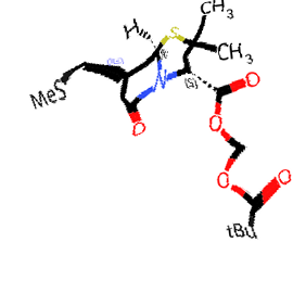 CS/C=C1\C(=O)N2[C@@H]1SC(C)(C)[C@@H]2C(=O)OCOC(=O)C(C)(C)C